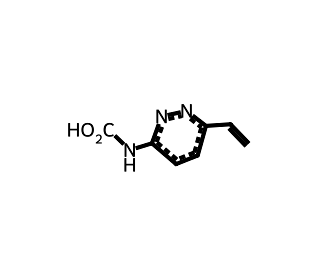 C=Cc1ccc(NC(=O)O)nn1